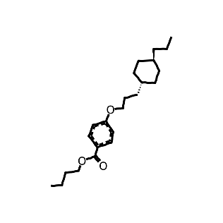 CCCCOC(=O)c1ccc(OCCC[C@H]2CC[C@H](CCC)CC2)cc1